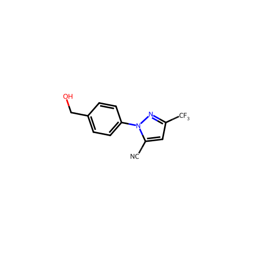 N#Cc1cc(C(F)(F)F)nn1-c1ccc(CO)cc1